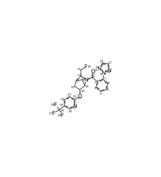 O=C(c1ccccc1-n1nccn1)N1C(CF)C2CC1[C@@H](Oc1ccc(C(F)(F)F)cn1)C2